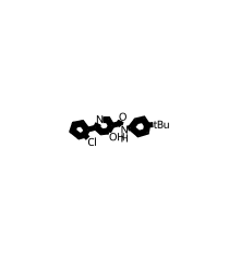 CC(C)(C)c1ccc(NC(=O)c2cnc(-c3ccccc3Cl)cc2O)cc1